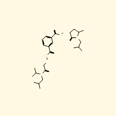 CC(C)CN(C(=O)CONC(=O)c1cccc(C(=O)NO[C@@H]2CC(C)N(CC(C)C)C2=O)c1)C(C)C